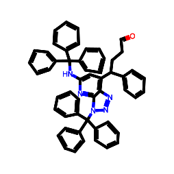 O=CCCC(c1ccccc1)c1cc(NC(c2ccccc2)(c2ccccc2)c2ccccc2)nc2c1nnn2C(c1ccccc1)(c1ccccc1)c1ccccc1